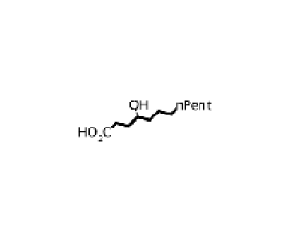 CCCCCCCC[C@@H](O)CCC(=O)O